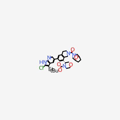 CCc1c(Cl)[nH]c2ncc(-c3cc4c(c([C@@H]5COCCN5C(=O)OC(C)(C)C)c3)CN(C(=O)N3CC5CCC(C3)O5)CC4)cc12